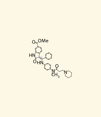 COC(=O)c1ccc2c(c1)NC(=O)/C2=C(\Nc1ccc(N(C)C(=O)CCN2CCCCC2)cc1)c1ccccc1